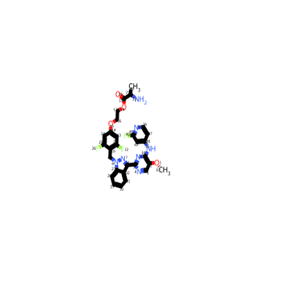 COc1cnc(-c2nn(Cc3c(F)cc(OCCOC(=O)C(C)N)cc3F)c3ccccc23)nc1Nc1ccnc(F)c1